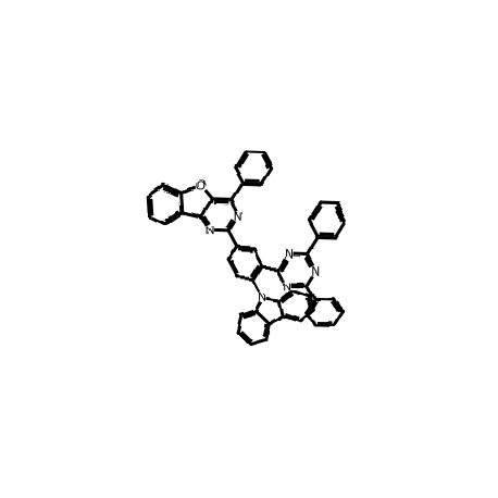 c1ccc(-c2nc(-c3ccccc3)nc(-c3cc(-c4nc(-c5ccccc5)c5oc6ccccc6c5n4)ccc3-n3c4ccccc4c4ccccc43)n2)cc1